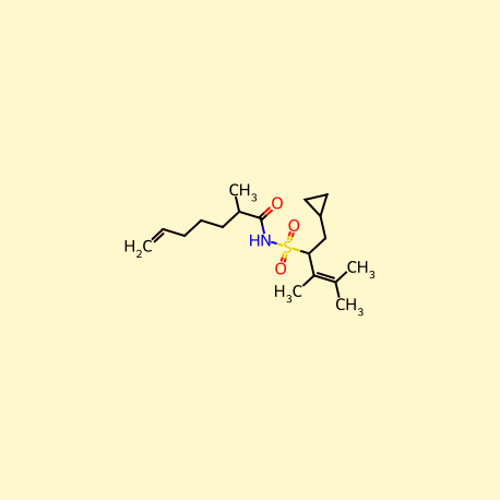 C=CCCCC(C)C(=O)NS(=O)(=O)C(CC1CC1)C(C)=C(C)C